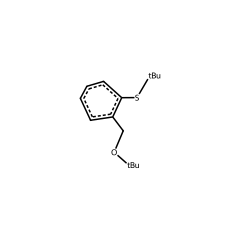 CC(C)(C)OCc1ccccc1SC(C)(C)C